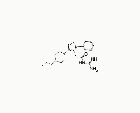 CCCC1CCC(c2ccc(-c3ccccc3)n2CC(=O)NC(=N)N)CC1